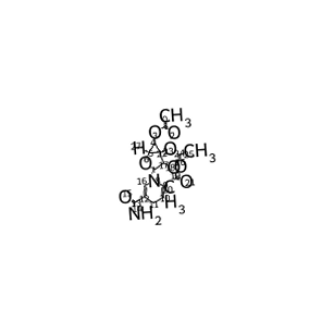 CC(=O)OC1[C@H]2O[C@@H](N3C=CCC(C(N)=O)=C3)[C@H](OC(C)=O)[C@@]12OC(C)=O